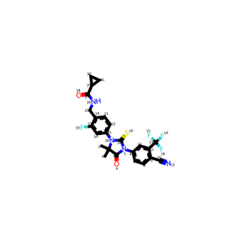 CC1(C)C(=O)N(c2ccc(C#N)c(C(F)(F)F)c2)C(=S)N1c1ccc(CNC(=O)C2CC2)c(F)c1